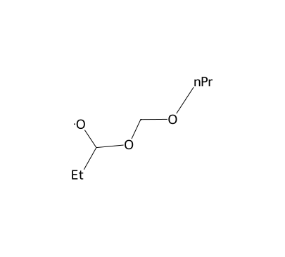 CCCOCOC([O])CC